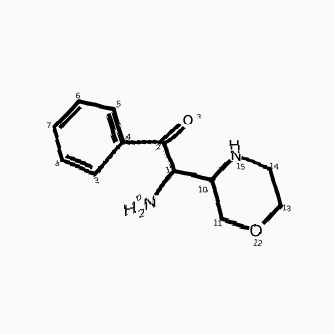 NC(C(=O)c1ccccc1)C1COCCN1